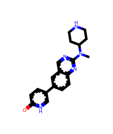 CN(c1ncc2cc(-c3ccc(=O)[nH]c3)ccc2n1)C1CCNCC1